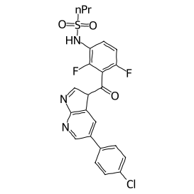 CCCS(=O)(=O)Nc1ccc(F)c(C(=O)C2C=Nc3ncc(-c4ccc(Cl)cc4)cc32)c1F